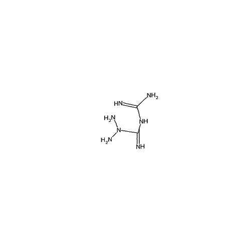 N=C(N)NC(=N)N(N)N